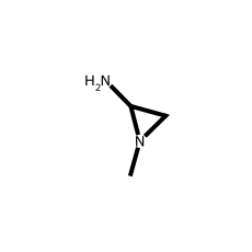 CN1CC1N